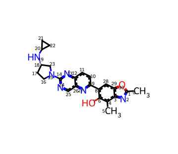 Cc1nc2c(C)c(O)c(-c3ccc4nc(N5CC[C@H](NC6CC6)C5)ncc4n3)cc2o1